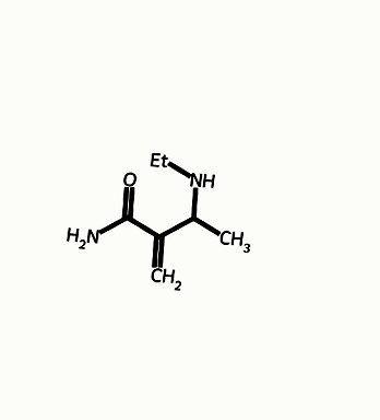 C=C(C(N)=O)C(C)NCC